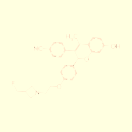 CC1=C(c2ccc(C#N)cc2)[C@H](c2ccc(OCCN3CC(CF)C3)cc2)Oc2cc(O)ccc21